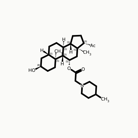 CC(=O)[C@H]1CC[C@H]2[C@@H]3CC[C@H]4C[C@H](O)CC[C@]4(C)[C@H]3[C@@H](OC(=O)CN3CCC(C)CC3)C[C@]12C